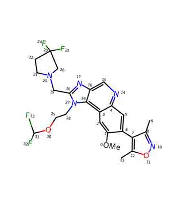 COc1cc2c(cc1-c1c(C)noc1C)ncc1nc(CN3CCC(F)(F)C3)n(CCOC(F)F)c12